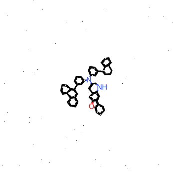 C1=C(c2cccc(N(C3=Cc4cc5oc6ccccc6c5cc4NC3)c3cccc(-c4cc5ccccc5c5ccccc45)c3)c2)c2ccccc2CC1